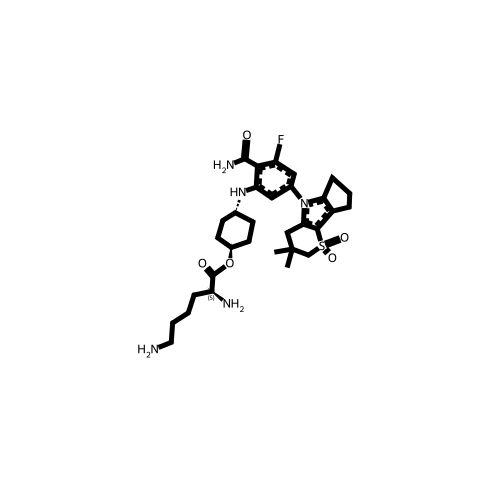 CC1(C)Cc2c(c3c(n2-c2cc(F)c(C(N)=O)c(N[C@H]4CC[C@H](OC(=O)[C@@H](N)CCCCN)CC4)c2)CCC3)S(=O)(=O)C1